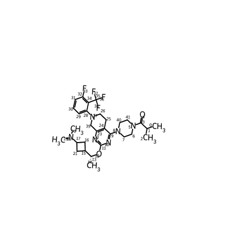 CC(C)C(=O)N1CCN(c2nc(O[C@H](C)C3CC(N(C)C)C3)nc3c2CCN(c2cccc(F)c2C(F)(F)F)C3)CC1